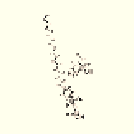 CCCCCCCCCCCCCCCCCCc1ccc(C(=O)NCC(O)O)cc1.CCCN.CCCS(=O)(=O)O